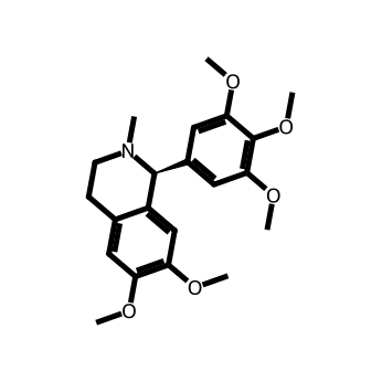 COc1cc2c(cc1OC)[C@H](c1cc(OC)c(OC)c(OC)c1)N(C)CC2